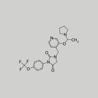 CC(Oc1cnccc1CN1CC(=O)N(c2ccc(OC(F)(F)F)cc2)C1=O)N1CCCC1